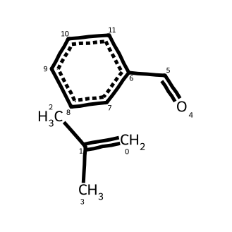 C=C(C)C.O=Cc1ccccc1